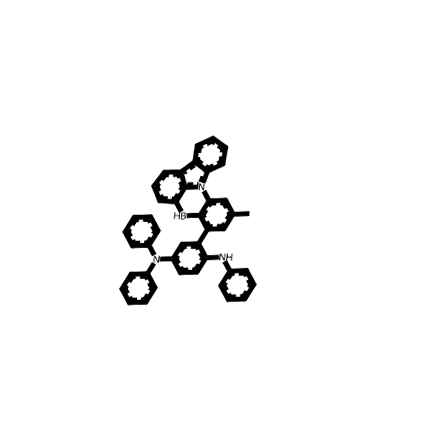 Cc1cc(-c2cc(N(c3ccccc3)c3ccccc3)ccc2Nc2ccccc2)c2c(c1)-n1c3ccccc3c3cccc(c31)B2